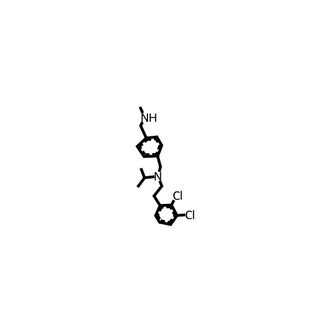 CNCc1ccc(CN(CCc2cccc(Cl)c2Cl)C(C)C)cc1